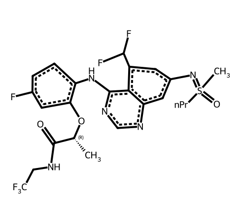 CCCS(C)(=O)=Nc1cc(C(F)F)c2c(Nc3ccc(F)cc3O[C@H](C)C(=O)NCC(F)(F)F)ncnc2c1